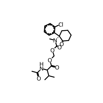 CC(=O)NC(C(=O)OCOC(=O)N(C)[C@]1(c2ccccc2Cl)CCCCC1=O)C(C)C